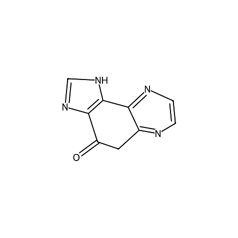 O=C1Cc2nccnc2-c2[nH]cnc21